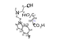 CN(CCO)CCn1ccc2cc(F)ccc21.O=C(O)/C=C/C(=O)O